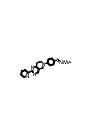 CNSc1ccc(N2CCc3nc(-c4ccccn4)ncc3C2)cc1